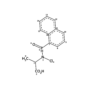 CC(C(=O)O)N(Cl)[PH](=O)c1cccc2ccccc12